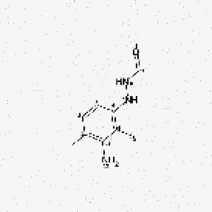 Cc1ccc(NNC=O)c(C)c1N